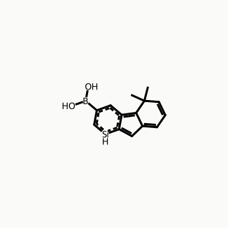 CC1(C)C=CC=C2C=c3[siH]cc(B(O)O)cc3=C21